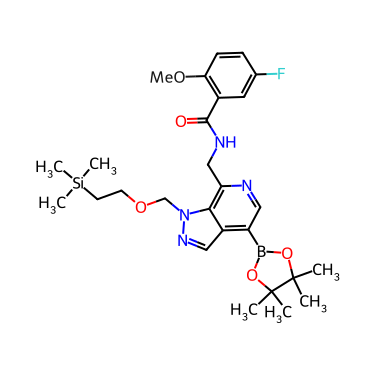 COc1ccc(F)cc1C(=O)NCc1ncc(B2OC(C)(C)C(C)(C)O2)c2cnn(COCC[Si](C)(C)C)c12